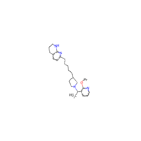 CC(C)Oc1ncccc1C(C(=O)O)N1CCC(CCCCCc2ccc3c(n2)NCCC3)C1